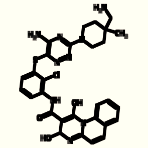 CC1(CN)CCN(c2nnc(Sc3cccc(NC(=O)C4=C(O)N5C(=NC4O)C=Cc4ccccc45)c3Cl)c(N)n2)CC1